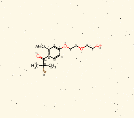 COc1cc(OCCOCCO)ccc1C(=O)C(C)(C)Br